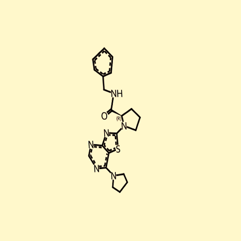 O=C(NCc1ccccc1)[C@H]1CCCN1c1nc2ncnc(N3CCCC3)c2s1